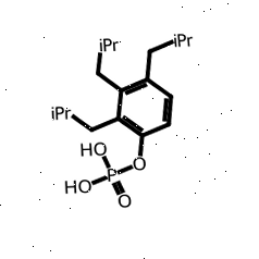 CC(C)Cc1ccc(OP(=O)(O)O)c(CC(C)C)c1CC(C)C